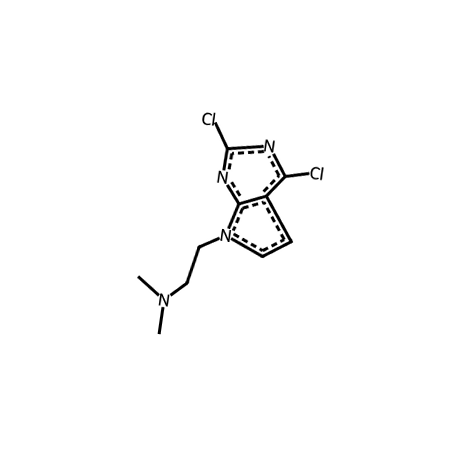 CN(C)CCn1ccc2c(Cl)nc(Cl)nc21